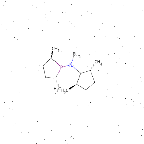 BN(C1[C@H](C)CC[C@H]1C)P1[C@H](C)CC[C@H]1C